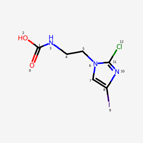 O=C(O)NCCn1cc(I)nc1Cl